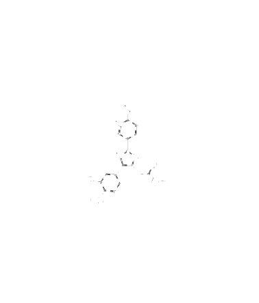 CCOC(=O)Cc1sc(-c2ccc(N(C)C)nc2)nc1-c1ccc(Cl)c(F)c1